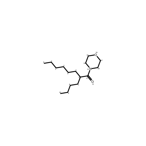 CCCCCCC(CCCC)C(=O)N1CCOCC1